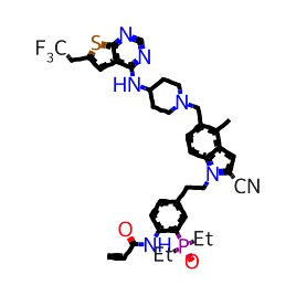 C=CC(=O)Nc1ccc(CCn2c(C#N)cc3c(C)c(CN4CCC(Nc5ncnc6sc(CC(F)(F)F)cc56)CC4)ccc32)cc1P(=O)(CC)CC